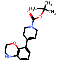 CC(C)(C)OC(=O)N1CC=C(c2cccc3c2OCCN3)CC1